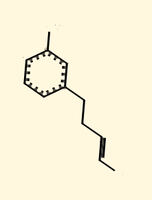 C/C=C/CCc1cccc(OC)c1